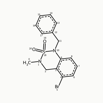 CN1Cc2c(Br)cccc2N(Cc2ccccc2)S1(=O)=O